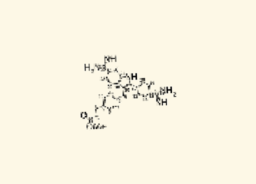 COC(=O)C=Cc1ccc(Cc2c(-c3ccc(C(=N)N)cc3)[nH]c3cc(C(=N)N)ccc23)cc1